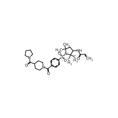 C=CC(=O)NC1CC(C)(C)N(S(=O)(=O)c2ccc(C(=O)N3CCC(C(=O)N4CCCC4)CC3)cc2)C1(C)C